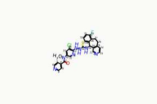 CN(C(=O)c1ccncc1)c1cnc(NNC(=S)NC2c3cnccc3CCc3c(F)cccc32)c(Cl)c1